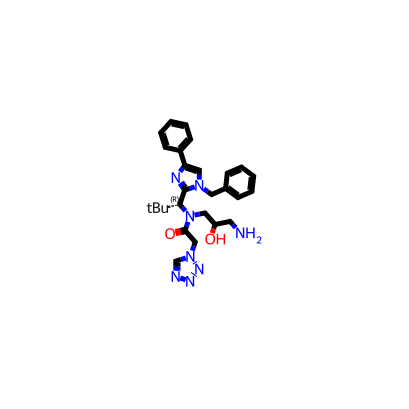 CC(C)(C)[C@H](c1nc(-c2ccccc2)cn1Cc1ccccc1)N(CC(O)CN)C(=O)Cn1cnnn1